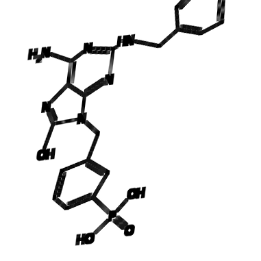 Nc1nc(NCc2ccccc2)nc2c1nc(O)n2Cc1cccc(P(=O)(O)O)c1